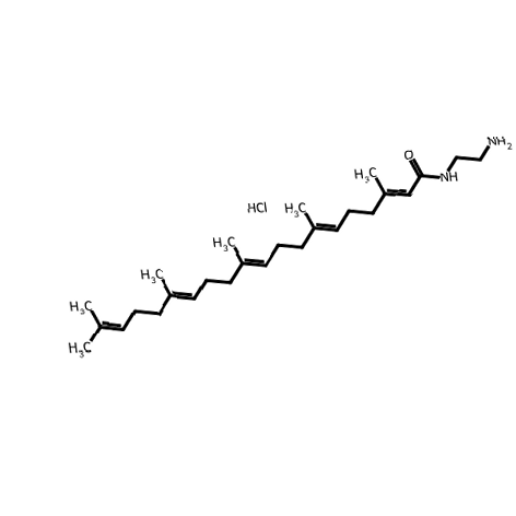 CC(C)=CCC/C(C)=C/CC/C(C)=C/CC/C(C)=C/CC/C(C)=C/C(=O)NCCN.Cl